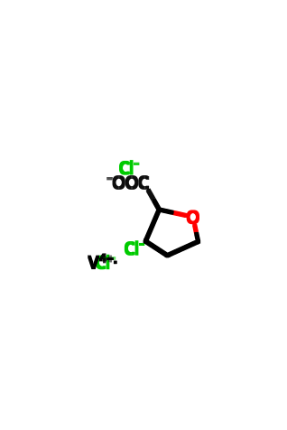 O=C([O-])C1CCCO1.[Cl-].[Cl-].[Cl-].[V+4]